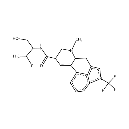 CC(F)C(CO)NC(=O)C1C=C2c3cccc4c3c(cn4C(F)(F)F)CC2N(C)C1